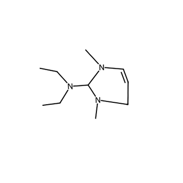 CCN(CC)C1N(C)C=CCN1C